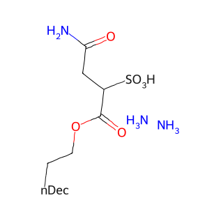 CCCCCCCCCCCCOC(=O)C(CC(N)=O)S(=O)(=O)O.N.N